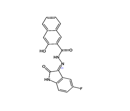 O=C1Nc2ccc(F)cc2/C1=N/NC(=O)c1cc2ccccc2cc1O